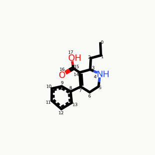 CCCC1NCCC(c2ccccc2)=C1C(=O)O